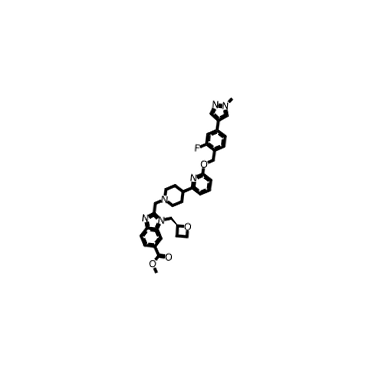 COC(=O)c1ccc2nc(CN3CCC(c4cccc(OCc5ccc(-c6cnn(C)c6)cc5F)n4)CC3)n(C[C@@H]3CCO3)c2c1